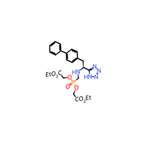 CCOC(=O)COP(=O)(CN[C@@H](Cc1ccc(-c2ccccc2)cc1)c1nnn[nH]1)OCC(=O)OCC